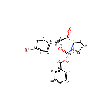 O=C(C#Cc1ccc(Br)cc1)[C@@H]1CCCN1C(=O)OCc1ccccc1